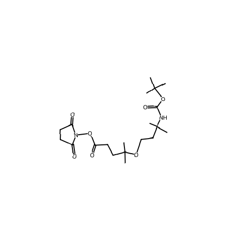 CC(C)(CCOC(C)(C)CCC(=O)ON1C(=O)CCC1=O)NC(=O)OC(C)(C)C